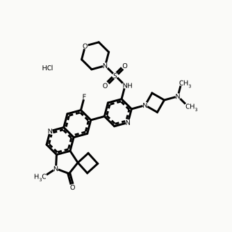 CN1C(=O)C2(CCC2)c2c1cnc1cc(F)c(-c3cnc(N4CC(N(C)C)C4)c(NS(=O)(=O)N4CCOCC4)c3)cc21.Cl